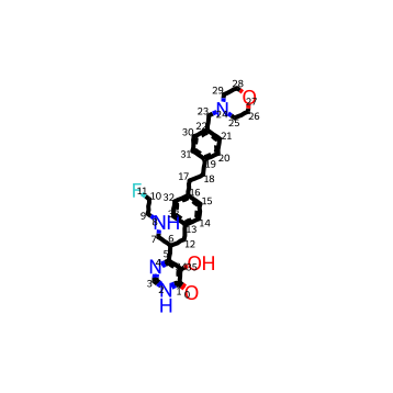 O=c1[nH]cnc(C(CNCCF)Cc2ccc(CCc3ccc(CN4CCOCC4)cc3)cc2)c1O